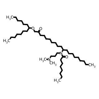 CCCCCCCCCC(CCCCCCCCC(=O)COC(CCCCCC)CCCCCCC)N(CCCN(C)C)C(=O)CCCCCCC